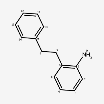 Nc1ccc[c]c1CCc1ccccc1